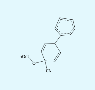 CCCCCCCCOC1(C#N)C=CC(c2ccccc2)C=C1